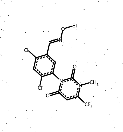 CCON=Cc1cc(-n2c(=O)cc(C(F)(F)F)n(C)c2=O)c(Cl)cc1Cl